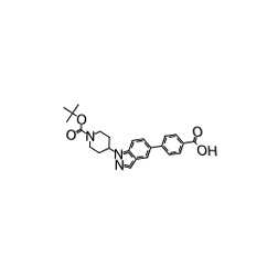 CC(C)(C)OC(=O)N1CCC(n2ncc3cc(-c4ccc(C(=O)O)cc4)ccc32)CC1